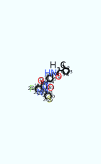 Cc1ccccc1CC(=O)NC1CCC(n2c(=O)c3cc(F)cnc3n(C3CCSCC3)c2=O)CC1